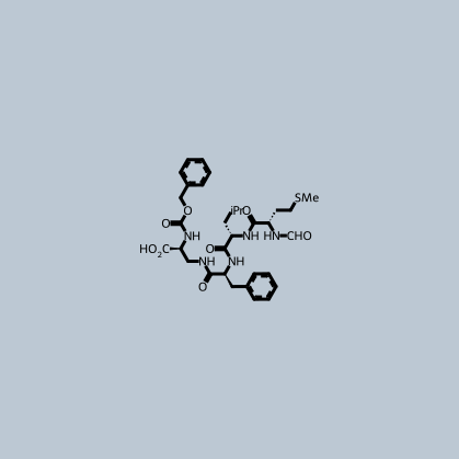 CSCC[C@H](NC=O)C(=O)N[C@@H](CC(C)C)C(=O)N[C@@H](Cc1ccccc1)C(=O)NC[C@H](NC(=O)OCc1ccccc1)C(=O)O